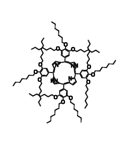 CCCCCCCOc1cc(-c2c3nc(c(-c4cc(OCCCCCCC)c(OCCCCCCC)c(OCCCCCCC)c4)c4ccc([nH]4)c(-c4cc(OCCCCCCC)c(OCCCCCCC)c(OCCCCCCC)c4)c4nc(c(-c5cc(OCCCCCCC)c(OCCCCCCC)c(OCCCCCCC)c5)c5ccc2[nH]5)C=C4)C=C3)cc(OCCCCCCC)c1OCCCCCCC